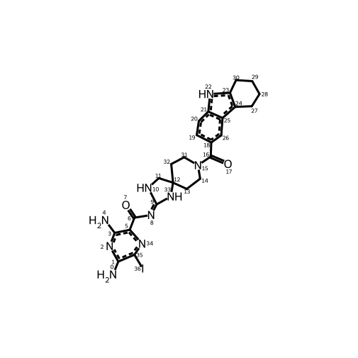 Nc1nc(N)c(C(=O)/N=C2\NCC3(CCN(C(=O)c4ccc5[nH]c6c(c5c4)CCCC6)CC3)N2)nc1I